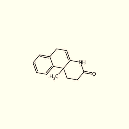 CC12CCC(=O)NC1=CCc1ccccc12